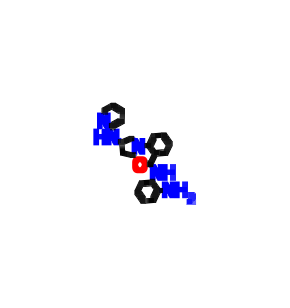 Nc1ccccc1NC(=O)c1ccccc1N1CCC(Nc2ccccn2)C1